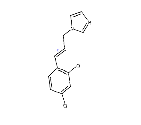 Clc1ccc(/C=C/Cn2ccnc2)c(Cl)c1